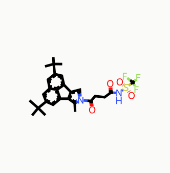 Cc1c2c(cn1C(=O)CCC(=O)NS(=O)(=O)C(F)(F)F)-c1cc(C(C)(C)C)cc3cc(C(C)(C)C)cc-2c13